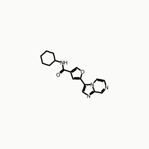 O=C(NC1CCCCC1)c1coc(-c2cnc3cnccn23)c1